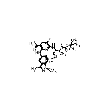 COC[C@@H](Nc1nc(Nc2ccc3c(c2)c(C)nn3C)c(C(N)=O)cc1F)[C@H](C)NC(=O)OC(C)(C)C